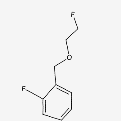 FCCOCc1ccccc1F